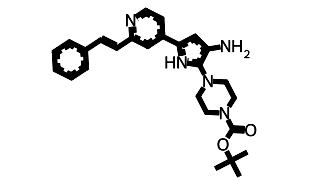 CC(C)(C)OC(=O)N1CCN(c2[nH]c(-c3ccnc(/C=C/c4ccccc4)c3)cc2N)CC1